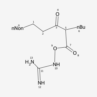 CCCCCCCCCCCC(=O)C(CCCC)C(=O)ONC(=N)N